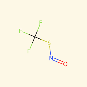 O=NSC(F)(F)F